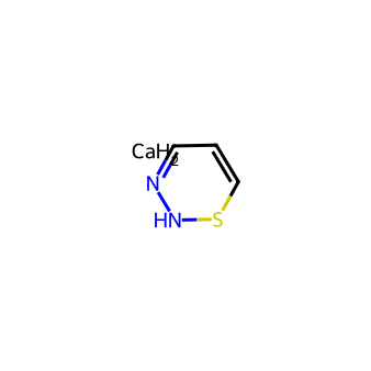 C1=CSNN=C1.[CaH2]